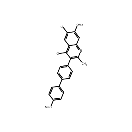 COc1ccc(-c2ccc(-c3c(C)nc4cc(OC)c(Cl)cc4c3Cl)cc2)cc1